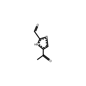 CC(=O)c1cnc(C=O)[nH]1